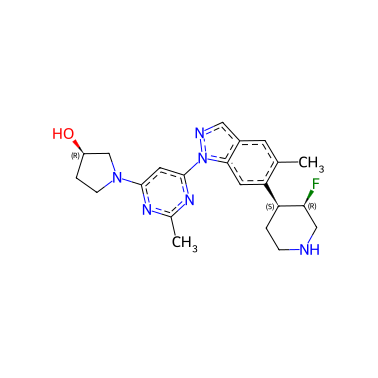 Cc1nc(N2CC[C@@H](O)C2)cc(-n2ncc3cc(C)c([C@@H]4CCNC[C@@H]4F)cc32)n1